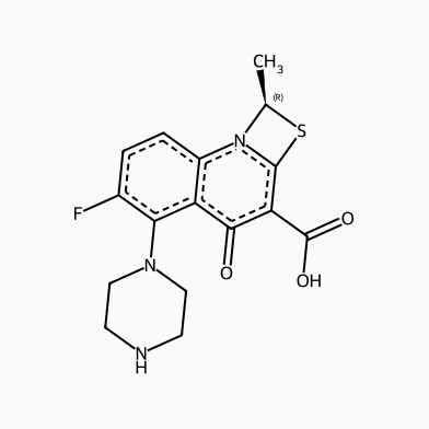 C[C@H]1Sc2c(C(=O)O)c(=O)c3c(N4CCNCC4)c(F)ccc3n21